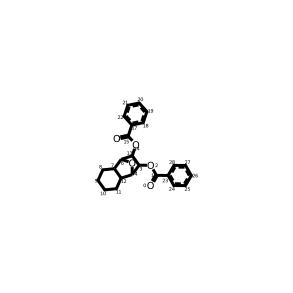 O=C(OC1C2OC(C3CCCCC32)C1OC(=O)c1ccccc1)c1ccccc1